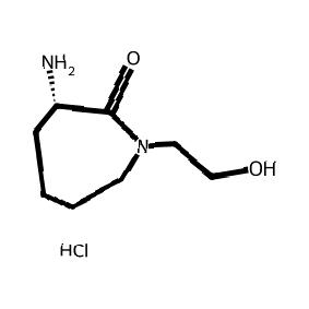 Cl.N[C@H]1CCCCN(CCO)C1=O